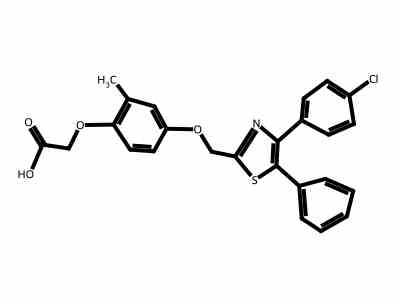 Cc1cc(OCc2nc(-c3ccc(Cl)cc3)c(-c3ccccc3)s2)ccc1OCC(=O)O